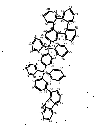 c1ccc([Si](c2ccccc2)(c2ccc([Si](c3ccccc3)(c3ccccc3)c3ccc4c(c3)-c3ccccc3-c3ccccc3-c3ncccc3-4)cc2)c2cccc(-c3cccc4c3oc3ccccc34)c2)cc1